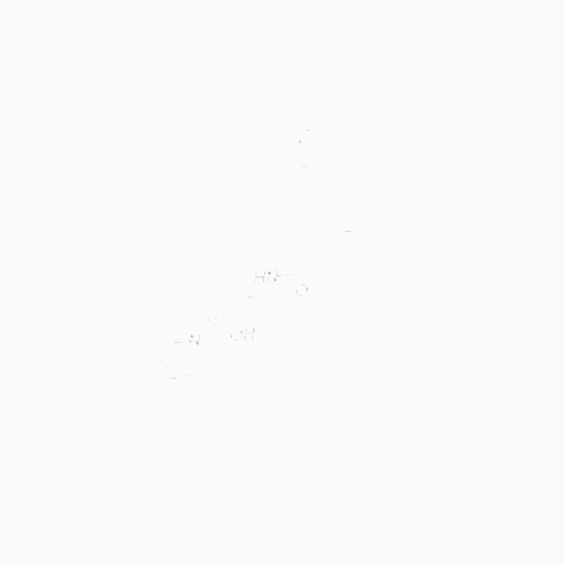 C=C/C=C\C1CN(CC(O)CCNC(=O)C(CC#CCC2C=CC=CC2)CCC)CCC1C